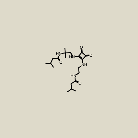 CC(C)CC(=O)NCCNc1c(NCC(C)(C)NC(=O)CC(C)C)c(=O)c1=O